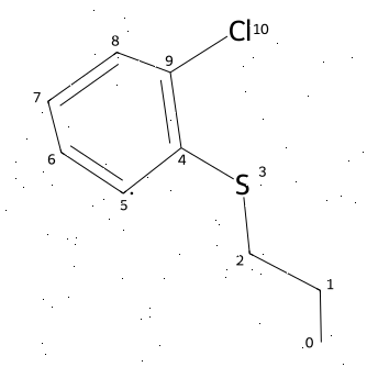 CCCSc1[c]cccc1Cl